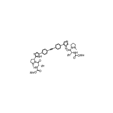 COC(=O)N[C@H](C(=O)N1[C@H](c2ncc(-c3ccc(C#Cc4ccc(-c5cnc([C@@H]6CCN(C)N6C(=O)[C@@H](NC(=O)OC)C(C)C)[nH]5)cc4)cc3)[nH]2)CCN1C)C(C)C